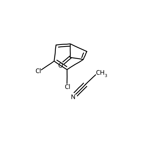 CC#N.O=C1c2cc(Cl)c(Cl)c1c2